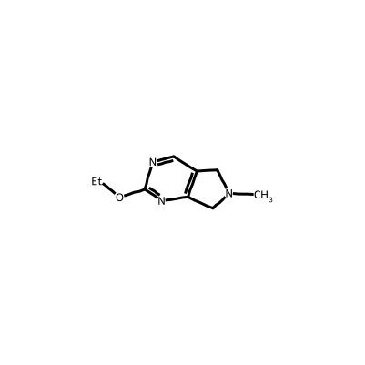 CCOc1ncc2c(n1)CN(C)C2